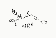 O=C(O)C(F)(F)F.O=C(O)c1c2c(nn1CCCNCCc1ccc(C=Cc3ccccc3)cc1)-c1ccncc1CC2